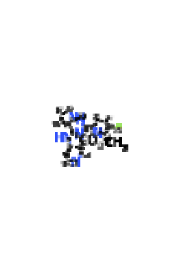 Cc1nc(-c2nc(Nc3ccncc3C(=O)O)c3cccn3n2)ccc1F